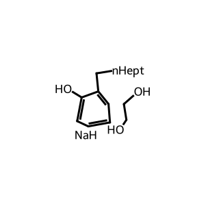 CCCCCCCCc1ccccc1O.OCCO.[NaH]